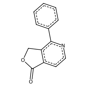 O=C1OCc2c1ccnc2-c1ccccc1